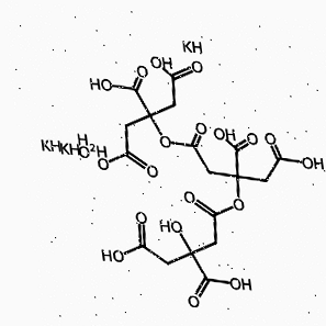 O.O=C(O)CC(O)(CC(=O)OC(CC(=O)O)(CC(=O)OC(CC(=O)O)(CC(=O)O)C(=O)O)C(=O)O)C(=O)O.[KH].[KH].[KH]